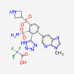 Cn1cnc2cc(-c3ccc(S(=O)(=O)C4CNC4)c(S(N)(=O)=O)c3-c3nnn[nH]3)cnc21.O=C(O)C(F)(F)F